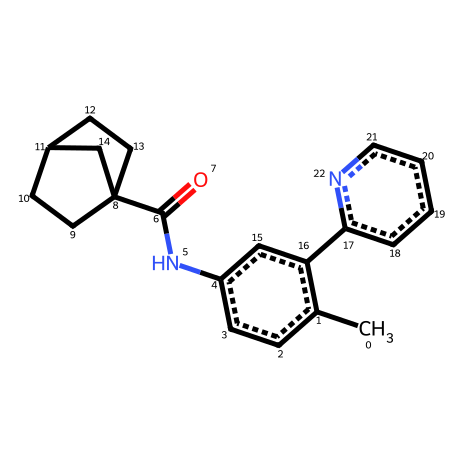 Cc1ccc(NC(=O)C23CCC(CC2)C3)cc1-c1ccccn1